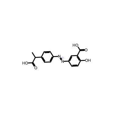 CC(C(=O)O)c1ccc(/N=N/c2ccc(O)c(C(=O)O)c2)cc1